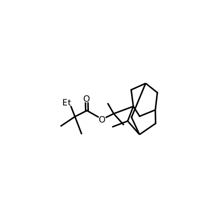 CCC(C)(C)C(=O)OC(C)(C)C12CC3CC(CC(C3)C1C)C2